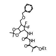 CCOC=C(C)C(=O)NC(=O)NC1C2OC(C)(C)OC2C(COCc2ccccc2)C1(F)F